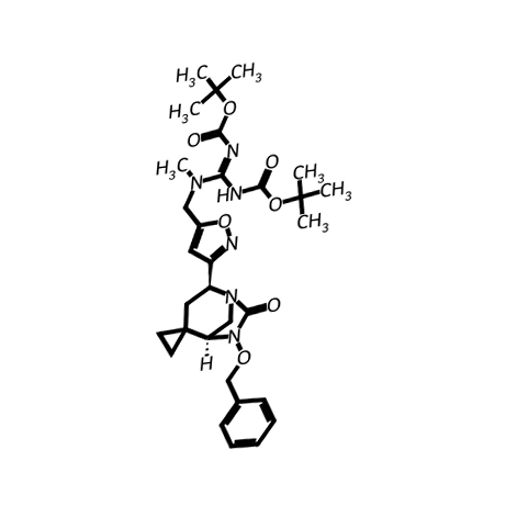 CN(Cc1cc([C@@H]2CC3(CC3)[C@H]3CN2C(=O)N3OCc2ccccc2)no1)/C(=N\C(=O)OC(C)(C)C)NC(=O)OC(C)(C)C